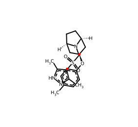 Cc1ccc(O[C@H]2C[C@H]3CC[C@@H](C2)N3CS(=O)(=O)c2c(C)n[nH]c2C)cc1